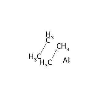 CC.CC.[Al]